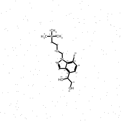 C[Si](C)(C)CCOCn1ncc2c(C(O)CO)ccc(F)c21